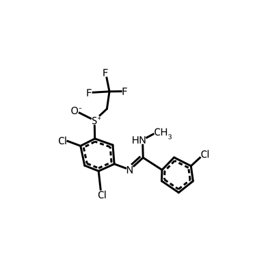 CN/C(=N\c1cc([S+]([O-])CC(F)(F)F)c(Cl)cc1Cl)c1cccc(Cl)c1